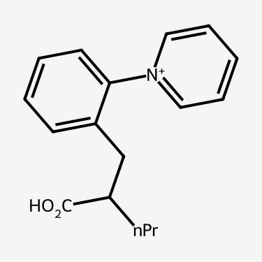 CCCC(Cc1ccccc1-[n+]1ccccc1)C(=O)O